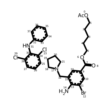 CC(=O)OCCCCCOC(=O)c1cc(Br)c(N)c(CN2CCCC2)c1.Clc1cccc(Cl)c1Nc1ccccc1